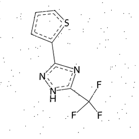 FC(F)(F)c1nc(-c2cccs2)n[nH]1